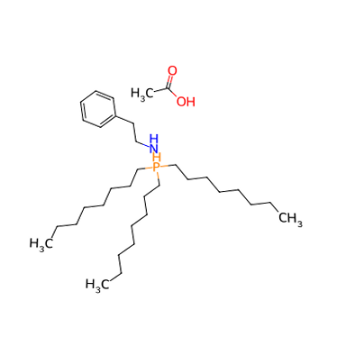 CC(=O)O.CCCCCCCC[PH](CCCCCCCC)(CCCCCCCC)NCCc1ccccc1